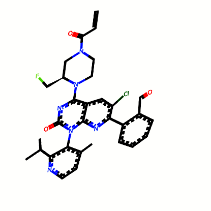 C=CC(=O)N1CCN(c2nc(=O)n(-c3c(C)ccnc3C(C)C)c3nc(-c4ccccc4C=O)c(Cl)cc23)[C@@H](CF)C1